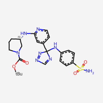 CC(C)(C)OC(=O)N1CCC[C@H](Nc2cc(C3(Nc4ccc(S(N)(=O)=O)cc4)N=CN=N3)ccn2)C1